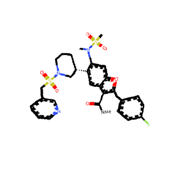 CNC(=O)c1c(-c2ccc(F)cc2)oc2cc(N(C)S(C)(=O)=O)c([C@H]3CCCN(S(=O)(=O)Cc4cccnc4)C3)cc12